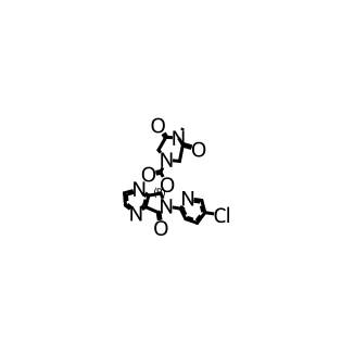 CN1C(=O)CN(C(=O)O[C@@H]2c3nccnc3C(=O)N2c2ccc(Cl)cn2)CC1=O